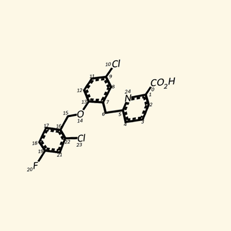 O=C(O)c1cccc(Cc2cc(Cl)ccc2OCc2ccc(F)cc2Cl)n1